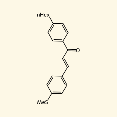 CCCCCCc1ccc(C(=O)/C=C/c2ccc(SC)cc2)cc1